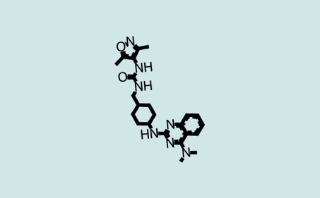 Cc1noc(C)c1NC(=O)NCC1CCC(Nc2nc(N(C)C)c3ccccc3n2)CC1